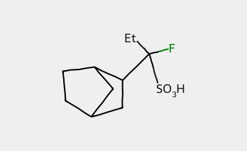 CCC(F)(C1CC2CCC1C2)S(=O)(=O)O